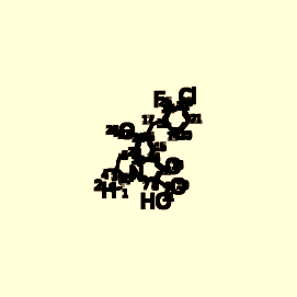 [2H]C[C@H](C(C)C)n1cc(C(=O)O)c(=O)c2cc(Cc3cccc(Cl)c3F)c(OC)cc21